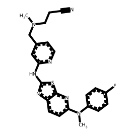 CN(CCC#N)Cc1ccnc(Nc2nc3ccc(N(C)c4ccc(F)cc4)nc3s2)c1